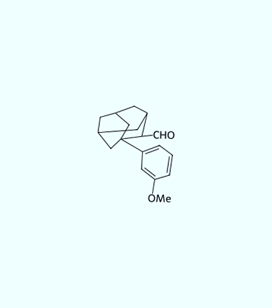 COc1cccc(C23CC4CC(CC(C4)C2C=O)C3)c1